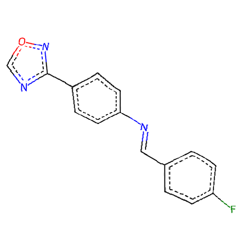 Fc1ccc(C=Nc2ccc(-c3ncon3)cc2)cc1